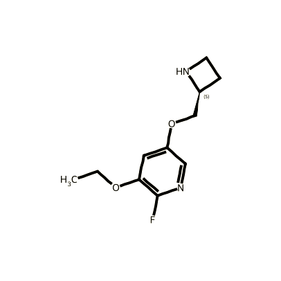 CCOc1cc(OC[C@@H]2CCN2)cnc1F